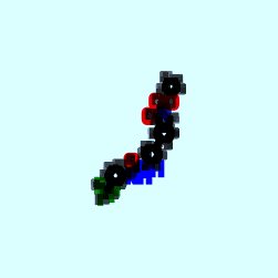 O=C(Nc1ccc(-c2ccc3c(c2)C(=O)N(C(=O)OC2CCCC2)C3)cc1)Nc1cccc(C(F)(F)F)c1